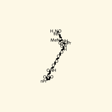 CCCC1CC(=O)N(CCC(=O)NCCOCCOCCOCCOCCC(=O)N[C@H](C(=O)N[C@@H](CCCNC(N)=O)C(=O)NC)C(C)C)C1=O